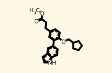 COC(=O)CCc1ccc(OCC2CCCC2)c(-c2ccc3[nH]ccc3c2)c1